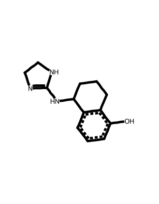 Oc1cccc2c1CCCC2NC1=NCCN1